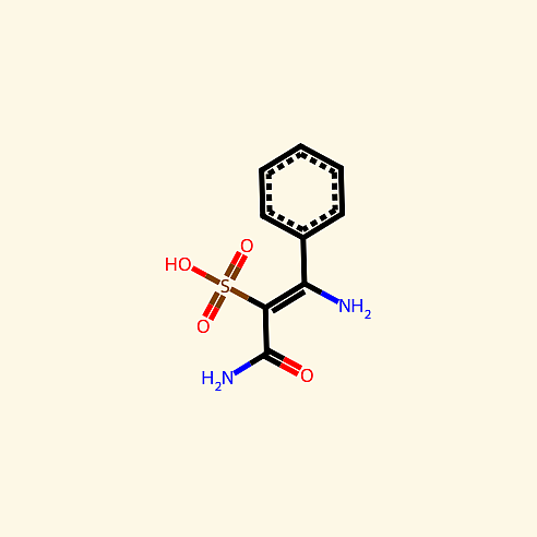 NC(=O)C(=C(N)c1ccccc1)S(=O)(=O)O